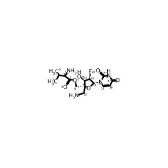 CC(C)C(N)C(=O)OC[C@@]1(CN)O[C@@H](n2ccc(=O)[nH]c2=O)[C@H](F)[C@@H]1O